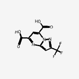 O=C(O)c1cc(C(=O)O)n2nc(C(F)(F)F)cc2n1